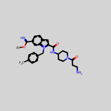 CCOC(=N)c1ccc2cc(C(=O)NC3CCN(C(=O)CCN)CC3)n(Cc3ccc(C(F)(F)F)cc3)c2c1